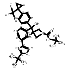 CC(C)(C)OC(=O)N1CC(C)(C(O)(c2ccc(C3(C(F)(F)F)CC3)cc2)c2cncc(-c3noc(C(C)(C)O)n3)c2)C1